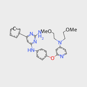 COCCN(CCOC)c1ccnc(Oc2ccc(Nc3cc(-c4ccccc4)nc(N)n3)cc2)c1